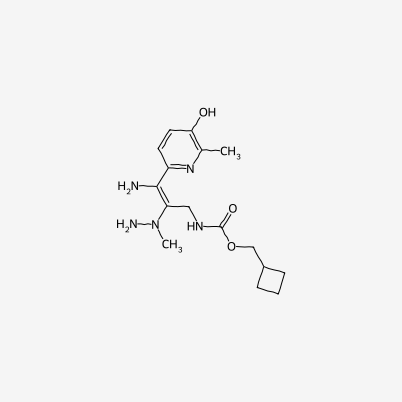 Cc1nc(/C(N)=C(\CNC(=O)OCC2CCC2)N(C)N)ccc1O